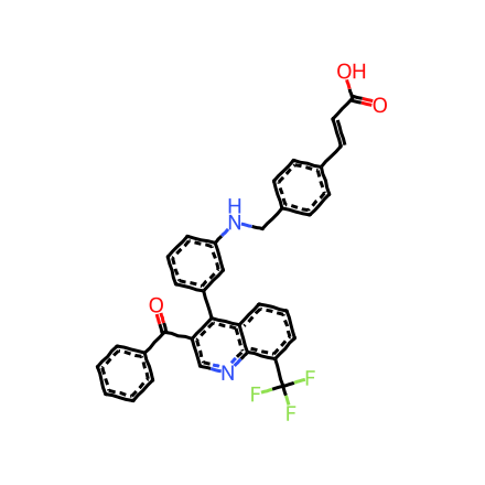 O=C(O)/C=C/c1ccc(CNc2cccc(-c3c(C(=O)c4ccccc4)cnc4c(C(F)(F)F)cccc34)c2)cc1